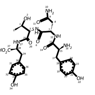 C[C@@H](O)[C@H](NC(=O)[C@H](CC(N)=O)NC(=O)[C@@H](N)Cc1ccc(O)cc1)C(=O)N[C@@H](Cc1ccc(O)cc1)C(=O)O